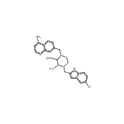 CC1C(C=O)N(Cc2ccc3c(N)ccnc3c2)CCN1Cc1cc2cc(Cl)ccc2[nH]1